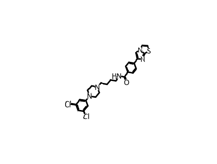 O=C(NCCCCN1CCN(c2cc(Cl)cc(Cl)c2)CC1)c1ccc(-c2cn3ccsc3n2)cc1